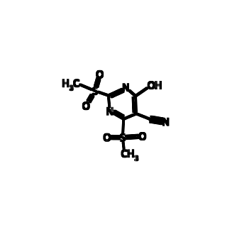 CS(=O)(=O)c1nc(O)c(C#N)c(S(C)(=O)=O)n1